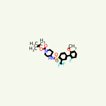 COc1cccc(F)c1-c1ccc(S(=O)(=O)NC2CCN(C(=O)OC(C)(C)C)CC2)c(C(F)(F)F)c1